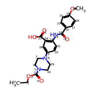 CCOC(=O)N1CCN(c2ccc(NC(=O)c3ccc(OC)cc3)c(C(=O)O)c2)CC1